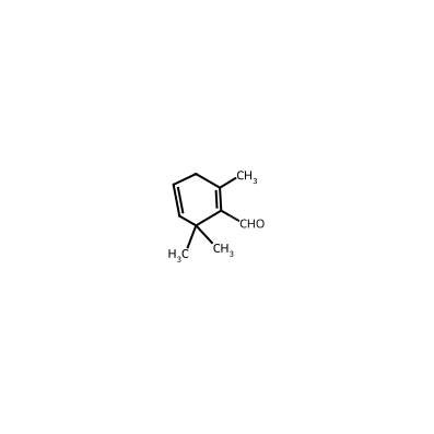 CC1=C(C=O)C(C)(C)C=CC1